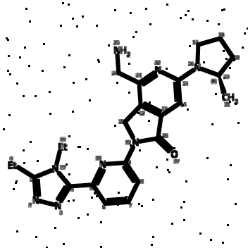 CCc1nnc(-c2cccc(N3Cc4c(cc(N5CCC[C@H]5C)nc4CN)C3=O)n2)n1CC